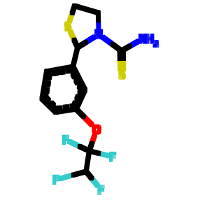 NC(=S)N1CCSC1c1cccc(OC(F)(F)C(F)F)c1